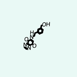 O=C1C=C(NCCc2cccc(CO)c2)C(=O)c2nccnc21